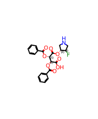 O=C(O[C@H](C(=O)O)[C@H](OC(=O)c1ccccc1)C(=O)O[C@@H]1CNC[C@H]1F)c1ccccc1